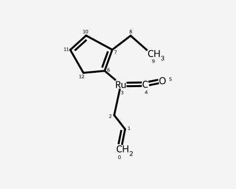 C=C[CH2][Ru](=[C]=O)[C]1=C(CC)C=CC1